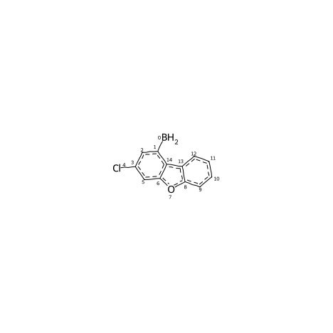 Bc1cc(Cl)cc2oc3ccccc3c12